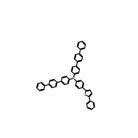 c1ccc(-c2ccc(-c3ccc(N(c4ccc(-c5ccc(-c6ccccc6)cc5)cc4)c4ccc(-c5ccc(-c6ccccc6)s5)cc4)cc3)cc2)cc1